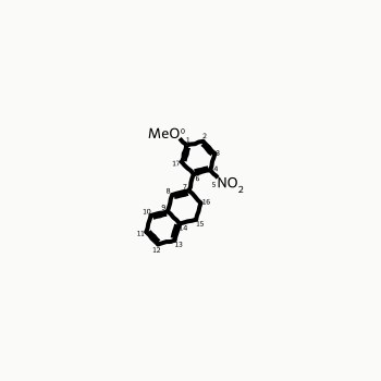 COc1ccc([N+](=O)[O-])c(C2=Cc3ccccc3CC2)c1